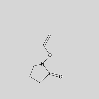 C=CON1CCCC1=O